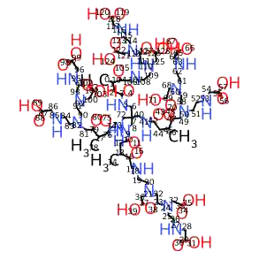 CC(CC(=O)NCC(CNC(=O)CC(C)C(=O)CNCCN(CCN(CCNCC(=O)O)CC(=O)O)CC(=O)O)(CNC(=O)CC(C)C(=O)CN(CCNCC(=O)O)CCN(CCNCC(=O)O)CC(=O)O)CNC(=O)CC(C)C(=O)CN(CCNCC(=O)O)CCN(CCNCC(=O)O)CC(=O)O)C(=O)CNCCN(CCN(CCNCC(=O)O)CC(=O)O)CC(=O)O